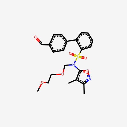 COCCOCN(c1onc(C)c1C)S(=O)(=O)c1ccccc1-c1ccc(C=O)cc1